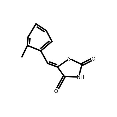 Cc1ccccc1C=C1SC(=O)NC1=O